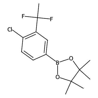 CC(F)(F)c1cc(B2OC(C)(C)C(C)(C)O2)ccc1Cl